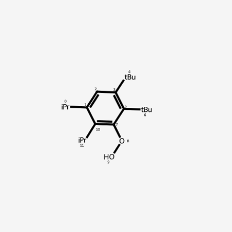 CC(C)c1cc(C(C)(C)C)c(C(C)(C)C)c(OO)c1C(C)C